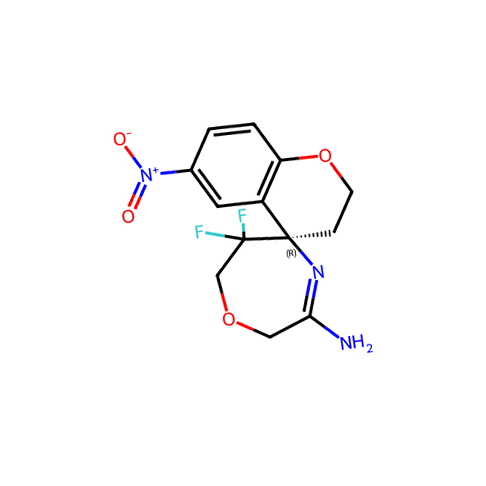 NC1=N[C@@]2(CCOc3ccc([N+](=O)[O-])cc32)C(F)(F)COC1